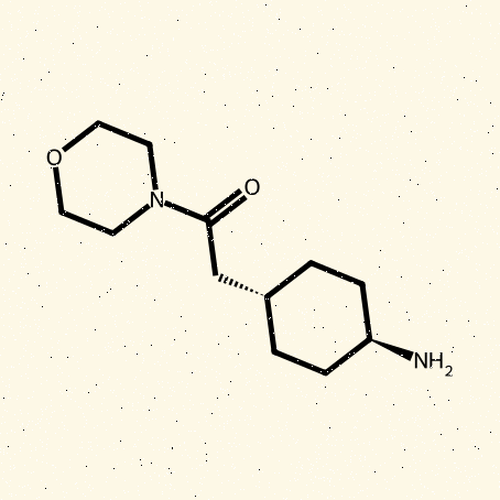 N[C@H]1CC[C@H](CC(=O)N2CCOCC2)CC1